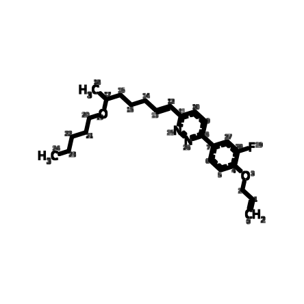 C=CCOc1ccc(-c2ccc(/C=C/CCCC(C)OCCCCC)nn2)cc1F